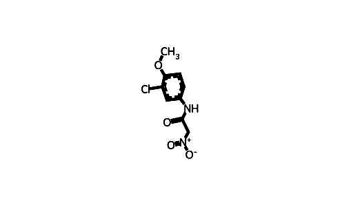 COc1ccc(NC(=O)C[N+](=O)[O-])cc1Cl